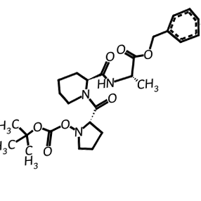 C[C@H](NC(=O)[C@@H]1CCCCN1C(=O)[C@@H]1CCCN1OC(=O)OC(C)(C)C)C(=O)OCc1ccccc1